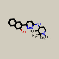 CC1C(Nc2ccc(-c3cc4ccccc4cc3O)nn2)CCN(C)C1(C)C